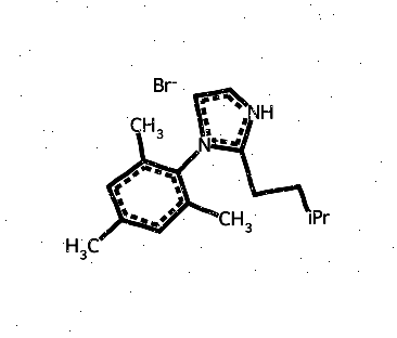 Cc1cc(C)c(-[n+]2cc[nH]c2CCC(C)C)c(C)c1.[Br-]